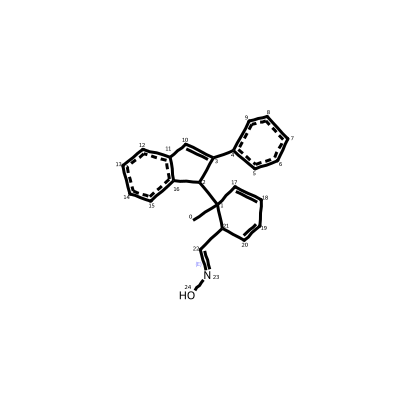 CC1(C2C(c3ccccc3)=Cc3ccccc32)C=CC=CC1/C=N/O